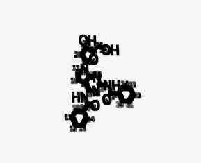 O=C(Nc1nc(NC(=O)c2ccccc2)c2ccn([C@H]3C[C@H](O)[C@@H](CO)O3)c2n1)c1ccccc1